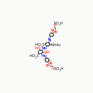 CC(=O)Nc1cc(N=Nc2c(O)cc(C(=O)O)c(N=Nc3ccc(S(=O)(=O)CCOS(=O)(=O)O)cc3)c2O)c(S(=O)(=O)O)cc1N=Nc1ccc(S(=O)(=O)CCOS(=O)(=O)O)cc1